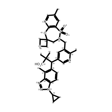 Cc1cnc2c(c1)S(=O)(=O)N(Cc1cc(C(c3ccc4c(nnn4C4CC4)c3C)C(C)(C)C(=O)O)cnc1C)CC1(COC1)O2